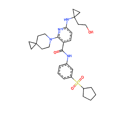 O=C(Nc1cccc(S(=O)(=O)C2CCCC2)c1)c1ccc(NC2(CCO)CC2)nc1N1CCC2(CC1)CC2